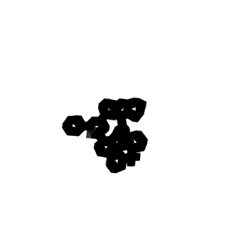 CC1(C)c2ccccc2C2(c3ccc(-c4cccc5ccccc45)cc3-c3c(-c4cc(-c5ccccc5)cc(C5=CCCC=C5)n4)cccc32)c2ccccc21